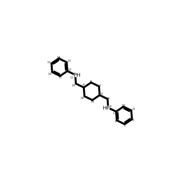 c1ccc(PCC2CCC(CPc3ccccc3)CC2)cc1